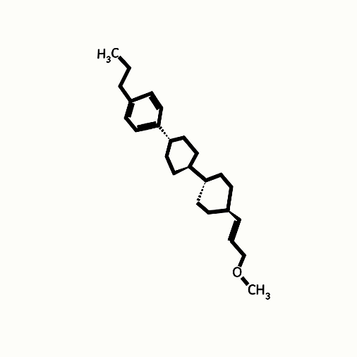 CCCc1ccc([C@H]2CC[C@H]([C@H]3CC[C@H](C=CCOC)CC3)CC2)cc1